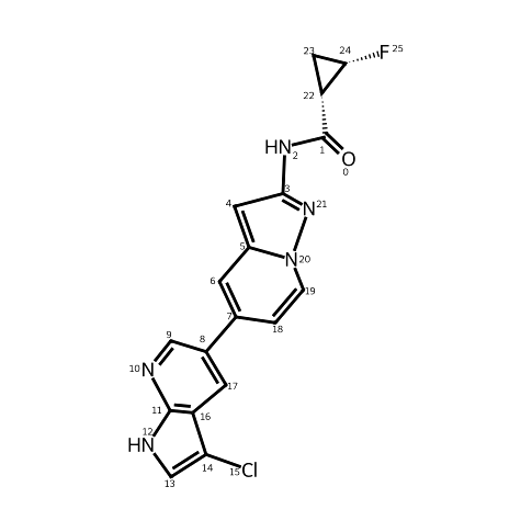 O=C(Nc1cc2cc(-c3cnc4[nH]cc(Cl)c4c3)ccn2n1)[C@@H]1C[C@@H]1F